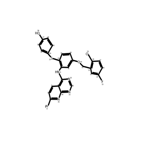 CC(C)c1ccc2c(Nc3cc(OCc4cc(F)ccc4Cl)ccc3Sc3ccc(O)cc3)ncnc2n1